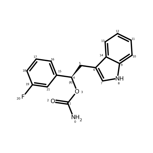 NC(=O)O[C@H](Cc1c[nH]c2ccccc12)c1cccc(F)c1